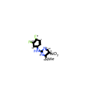 CNc1nc(Nc2ccc(F)c(F)c2)ncc1[N+](=O)[O-]